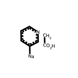 CC(=O)O.[Na][c]1cccnc1